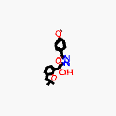 COc1ccc(-c2nnc(C(O)c3cccc4c3OC(C)(C)C4)o2)cc1